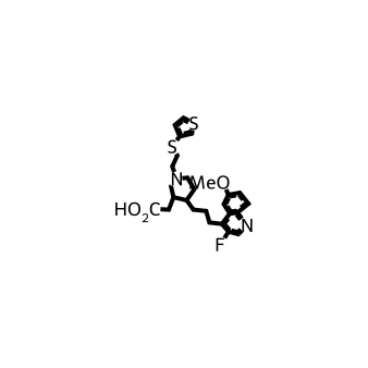 COc1ccc2ncc(F)c(CCCC3CCN(CCSc4ccsc4)CC3CC(=O)O)c2c1